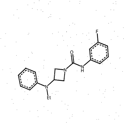 CCN(c1ccccc1)C1CN(C(=O)Nc2cccc(F)c2)C1